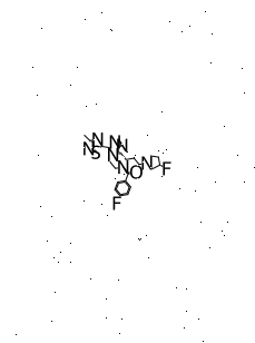 Cc1nsc(-c2nnc3n2CCN(C(=O)c2ccc(F)cc2)C3CCN2CC[C@@H](F)C2)n1